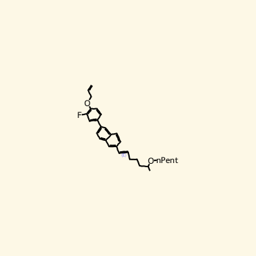 C=CCOc1ccc(-c2ccc3cc(/C=C/CCCC(C)OCCCCC)ccc3c2)cc1F